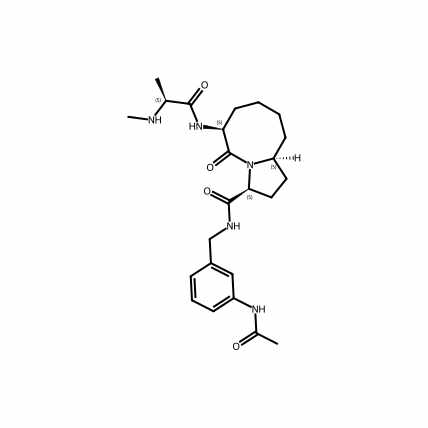 CN[C@@H](C)C(=O)N[C@H]1CCCC[C@H]2CC[C@@H](C(=O)NCc3cccc(NC(C)=O)c3)N2C1=O